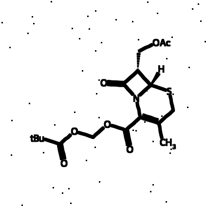 CC(=O)OC[C@H]1C(=O)N2C(C(=O)OCOC(=O)C(C)(C)C)=C(C)CS[C@@H]12